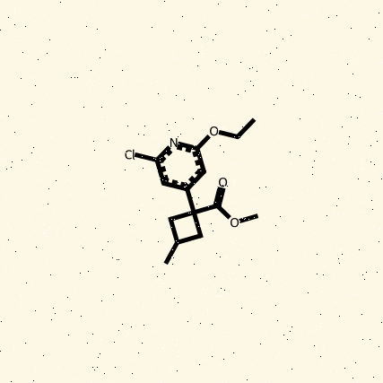 CCOc1cc(C2(C(=O)OC)CC(C)C2)cc(Cl)n1